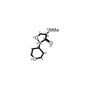 CN[C@@H]1CON(C2CCOCC2)C1=O